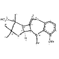 COc1cccc(OC)c1N(C(C)=O)C1C(=O)N2[C@@H]1SC(C)(C)C2(C)C(=O)O